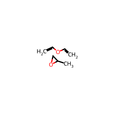 C=COC=C.CC1CO1